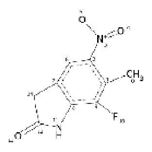 Cc1c([N+](=O)[O-])cc2c(c1F)NC(=O)C2